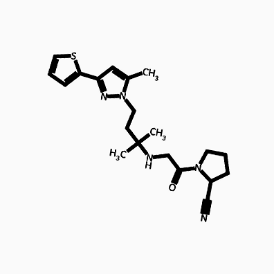 Cc1cc(-c2cccs2)nn1CCC(C)(C)NCC(=O)N1CCCC1C#N